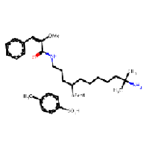 CCCCCC(CCCCCC(C)(C)N)CCCNC(=O)C(=Cc1ccccc1)OC.Cc1ccc(S(=O)(=O)O)cc1